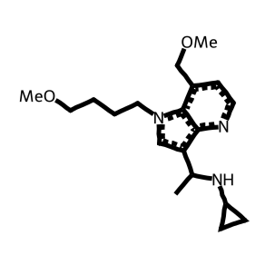 COCCCCn1cc(C(C)NC2CC2)c2nccc(COC)c21